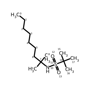 CCCCCCCC(C)(C)NS(=O)(=O)C(C)(C)C